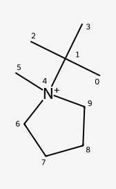 CC(C)(C)[N+]1(C)CCCC1